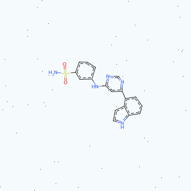 NS(=O)(=O)c1cccc(Nc2cc(-c3cccc4[nH]ccc34)ncn2)c1